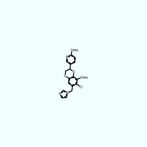 COc1ccc(C2COc3cc(Cn4ccnc4)c(Cl)c(OC)c3O2)cn1